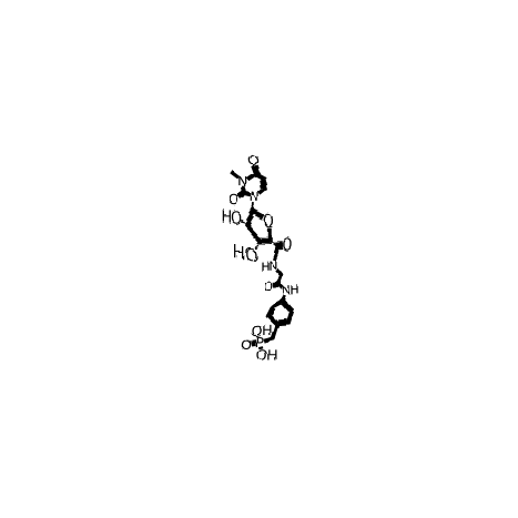 Cn1c(=O)ccn([C@@H]2O[C@H](C(=O)NCC(=O)Nc3ccc(CP(=O)(O)O)cc3)[C@H](O)[C@@H]2O)c1=O